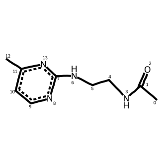 CC(=O)NCCNc1nccc(C)n1